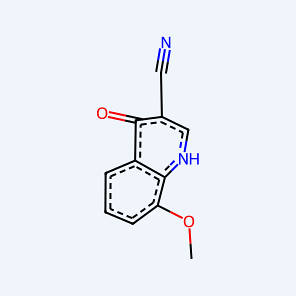 COc1cccc2c(=O)c(C#N)c[nH]c12